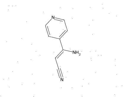 N#CC=C(N)c1ccncc1